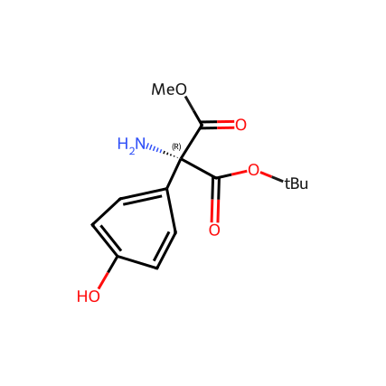 COC(=O)[C@@](N)(C(=O)OC(C)(C)C)c1ccc(O)cc1